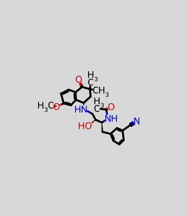 COc1ccc2c(c1)[C@@H](NC[C@H](O)[C@H](Cc1cccc(C#N)c1)NC(C)=O)CC(C)(C)C2=O